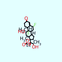 CCC(=O)O[C@]1(C(=O)CO)[C@H](C)C[C@H]2[C@@H]3C[C@H](F)C4=CC(=O)CC[C@]4(C)[C@@]3(F)[C@@H](O)C[C@@]21C